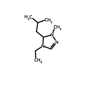 CCN1C=NN(C)C1CC(C)C